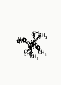 COCCN(CCOC)c1nc(N2CCC(OC)CC2)c2nc(N(CCOC)CCOC)nc(NCc3cccc(-n4cccn4)c3)c2n1